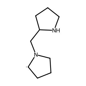 [CH]1CCCN1CC1CCCN1